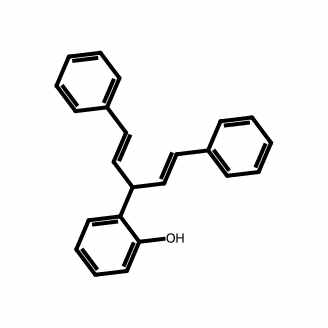 Oc1ccccc1C(/C=C/c1ccccc1)/C=C/c1ccccc1